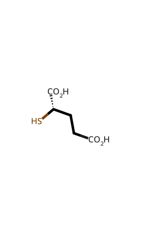 O=C(O)CC[C@H](S)C(=O)O